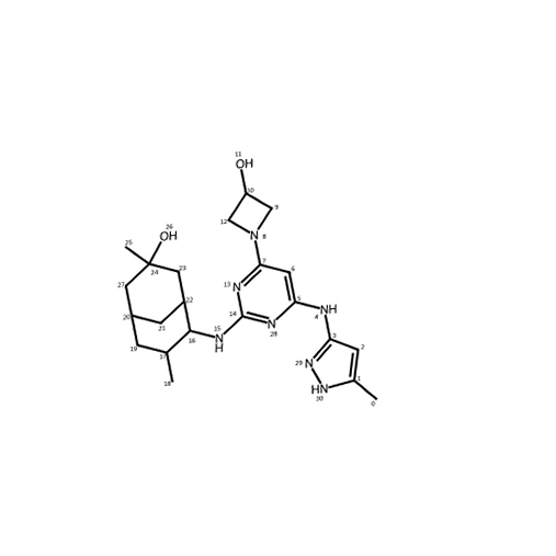 Cc1cc(Nc2cc(N3CC(O)C3)nc(NC3C(C)CC4CC3CC(C)(O)C4)n2)n[nH]1